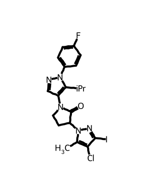 Cc1c(Cl)c(I)nn1C1CCN(c2cnn(-c3ccc(F)cc3)c2C(C)C)C1=O